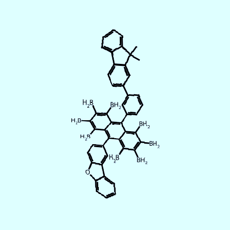 Bc1c(B)c(B)c2c(-c3ccc4oc5ccccc5c4c3)c3c(B)c(B)c(B)c(B)c3c(-c3cccc(-c4ccc5c(c4)C(C)(C)c4ccccc4-5)c3)c2c1B